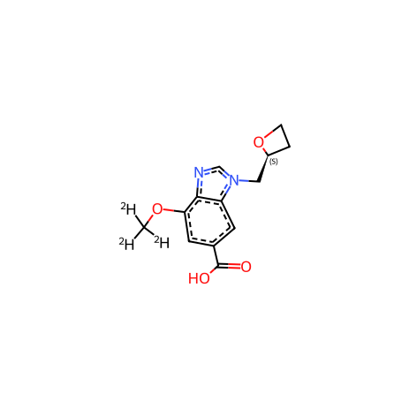 [2H]C([2H])([2H])Oc1cc(C(=O)O)cc2c1ncn2C[C@@H]1CCO1